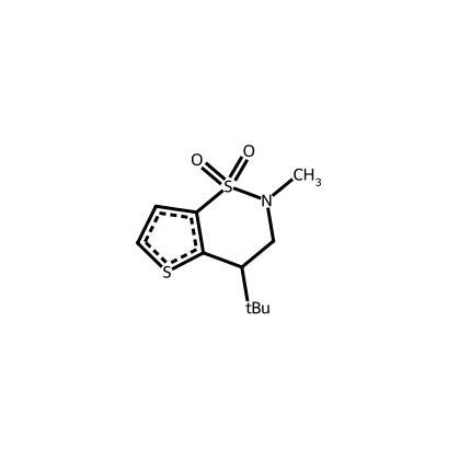 CN1CC(C(C)(C)C)c2sccc2S1(=O)=O